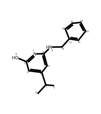 CC(C)c1cc(O)nc(NCc2ccccc2)c1